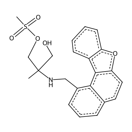 CC(CO)(COS(C)(=O)=O)NCc1cccc2ccc3oc4ccccc4c3c12